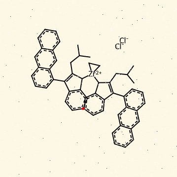 CC(C)CC1=C(c2cccc3cc4ccccc4cc23)c2ccccc2[CH]1[Zr+2]1([CH]2C(CC(C)C)=C(c3cccc4cc5ccccc5cc34)c3ccccc32)[CH2][CH2]1.[Cl-].[Cl-]